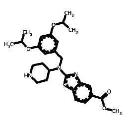 COC(=O)c1ccc2sc(N(Cc3cc(OC(C)C)cc(OC(C)C)c3)C3CCNCC3)nc2c1